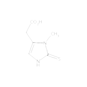 Cn1c(CC(=O)O)c[nH]c1=S